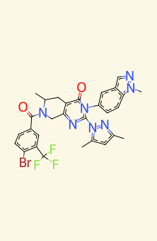 Cc1cc(C)n(-c2nc3c(c(=O)n2-c2ccc4c(cnn4C)c2)CC(C)N(C(=O)c2ccc(Br)c(C(F)(F)F)c2)C3)n1